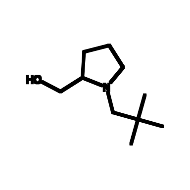 CC(C)(C)CN1CCCC1CO